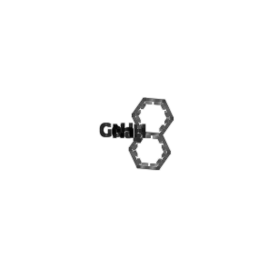 [GeH4].[NaH].c1ccc2ccccc2c1